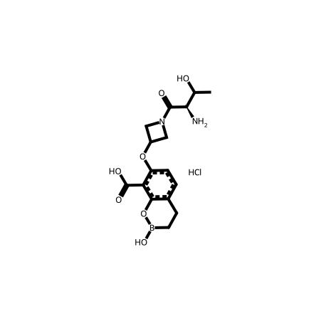 CC(O)[C@@H](N)C(=O)N1CC(Oc2ccc3c(c2C(=O)O)OB(O)CC3)C1.Cl